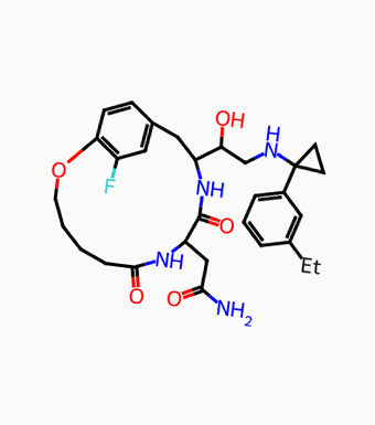 CCc1cccc(C2(NCC(O)C3Cc4ccc(c(F)c4)OCCCCC(=O)NC(CC(N)=O)C(=O)N3)CC2)c1